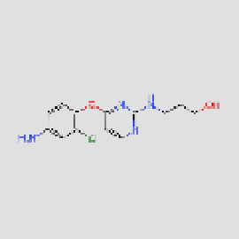 Nc1ccc(Oc2ccnc(NCCCO)n2)c(Cl)c1